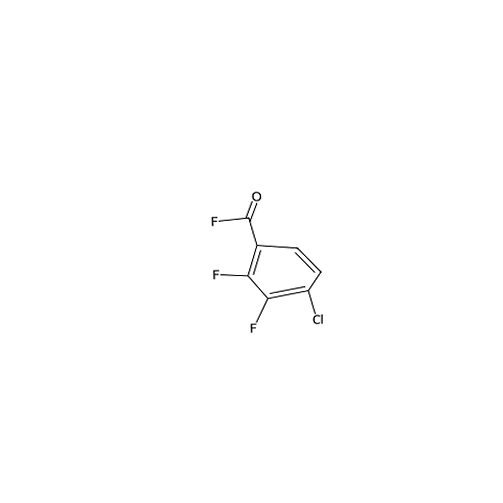 O=C(F)c1ccc(Cl)c(F)c1F